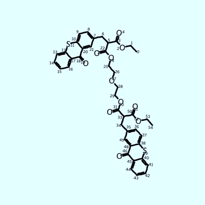 CCOC(=O)C(Cc1ccc2sc3ccccc3c(=O)c2c1)C(=O)OCCOCCOC(=O)C(Cc1ccc2sc3ccccc3c(=O)c2c1)C(=O)OCC